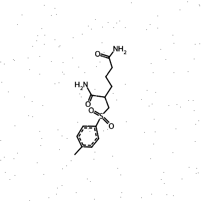 Cc1ccc(S(=O)(=O)CC(CCCC(N)=O)C(N)=O)cc1